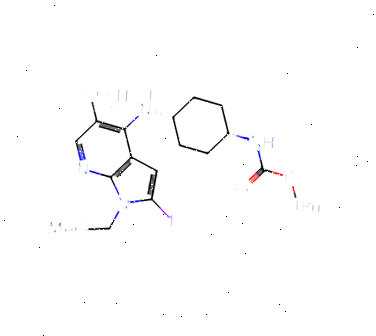 COCn1c(I)cc2c(N[C@H]3CC[C@H](NC(=O)OC(C)(C)C)CC3)c(C(=O)O)cnc21